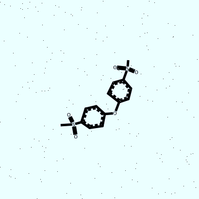 CS(=O)(=O)c1ccc(Oc2ccc(S(C)(=O)=O)cc2)cc1